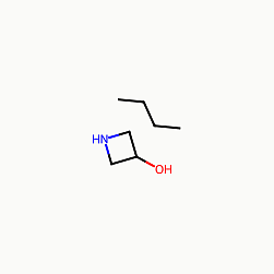 CCCC.OC1CNC1